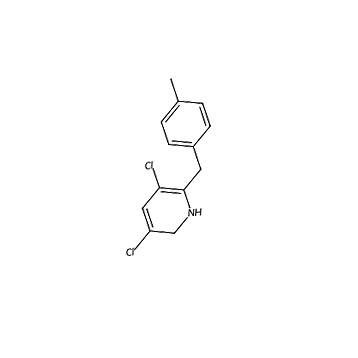 Cc1ccc(CC2=C(Cl)C=C(Cl)CN2)cc1